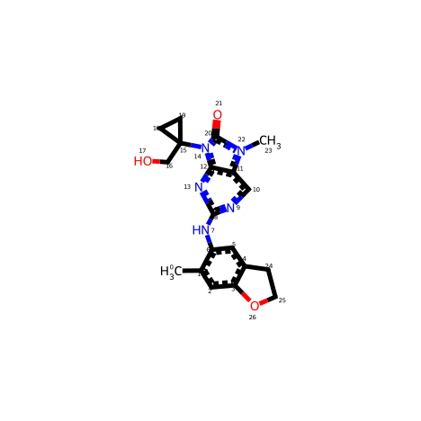 Cc1cc2c(cc1Nc1ncc3c(n1)n(C1(CO)CC1)c(=O)n3C)CCO2